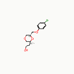 C[C@]1(CCO)COC[C@@H](COc2ccc(Br)cc2)O1